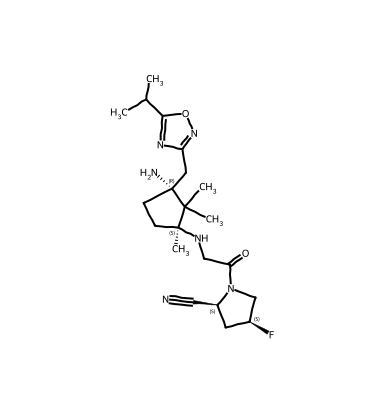 CC(C)c1nc(C[C@]2(N)CC[C@](C)(NCC(=O)N3C[C@@H](F)C[C@H]3C#N)C2(C)C)no1